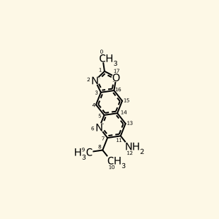 Cc1nc2cc3nc(C(C)C)c(N)cc3cc2o1